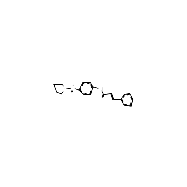 O=C(/C=C/c1ccccc1)Nc1ccc(S(=O)(=O)N2CCCC2)cc1